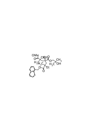 CCC(C)(CC(C)(CC(C)(C)C(=O)OC)C(=O)OCC(C)(C)O)C(=O)OCc1cccc2ccccc12